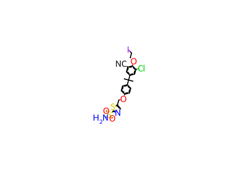 CC(C)(c1ccc(OCc2cnc(S(N)(=O)=O)s2)cc1)c1cc(Cl)c(OCCI)c(C#N)c1